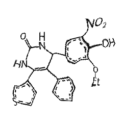 CCOc1cc(C2NC(=O)NC(c3ccsc3)=C2c2ccccc2)cc([N+](=O)[O-])c1O